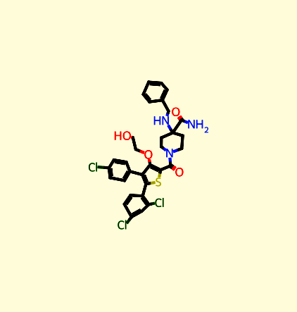 NC(=O)C1(NCc2ccccc2)CCN(C(=O)c2sc(-c3ccc(Cl)cc3Cl)c(-c3ccc(Cl)cc3)c2OCCO)CC1